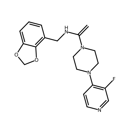 C=C(NCc1cccc2c1OCO2)N1CCN(c2ccncc2F)CC1